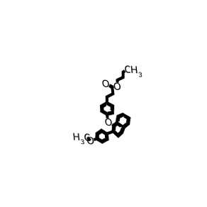 CCCCOC(=O)CCc1ccc(Oc2c(-c3ccc(OC)cc3)ccc3ccccc23)cc1